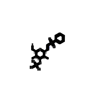 CC[Si](CC)(CC)O[C@H]1[C@@H](C)[C@@H](CI)O[C@@H](/C=C/S(=O)(=O)c2ccccc2)[C@H]1C